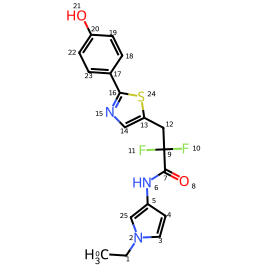 CCn1ccc(NC(=O)C(F)(F)Cc2cnc(-c3ccc(O)cc3)s2)c1